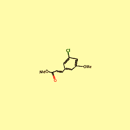 COC(=O)C=Cc1cc(Cl)cc(OC)c1